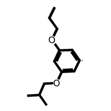 CCCOc1c[c]cc(OCC(C)C)c1